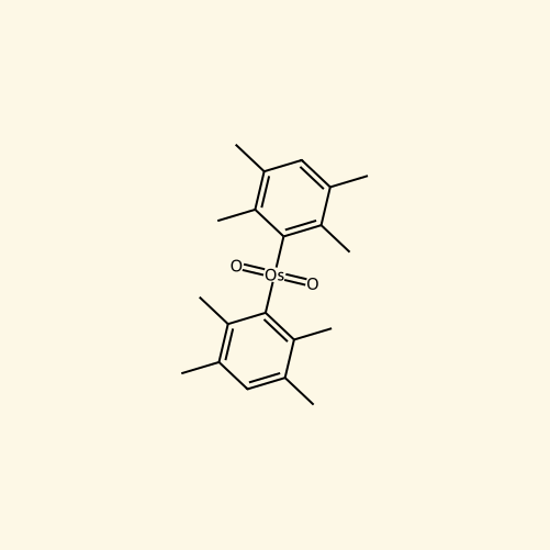 Cc1cc(C)c(C)[c]([Os](=[O])(=[O])[c]2c(C)c(C)cc(C)c2C)c1C